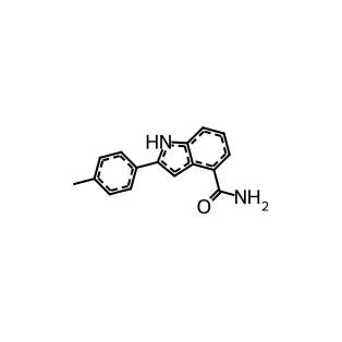 Cc1ccc(-c2cc3c(C(N)=O)cccc3[nH]2)cc1